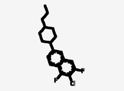 CCCC1CCC(c2ccc3c(F)c(Cl)c(F)cc3c2)CC1